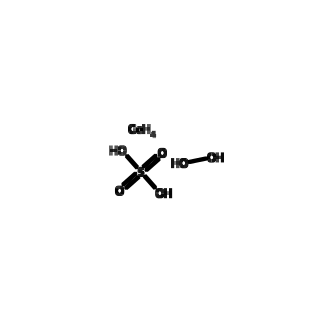 O=S(=O)(O)O.OO.[GeH4]